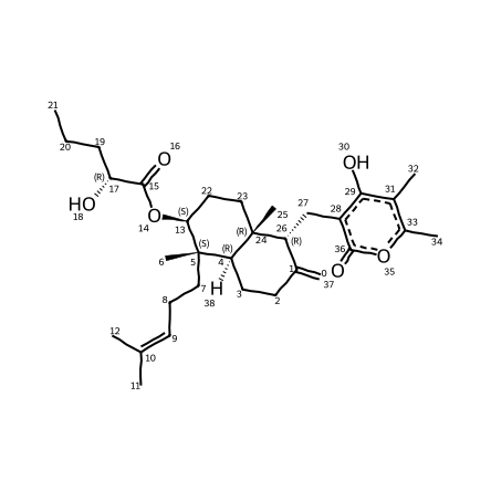 C=C1CC[C@H]2[C@](C)(CCC=C(C)C)[C@@H](OC(=O)[C@H](O)CCC)CC[C@]2(C)[C@@H]1Cc1c(O)c(C)c(C)oc1=O